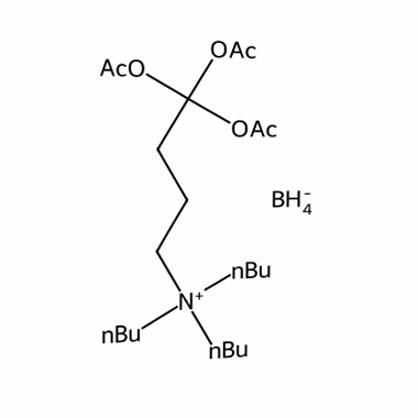 CCCC[N+](CCCC)(CCCC)CCCC(OC(C)=O)(OC(C)=O)OC(C)=O.[BH4-]